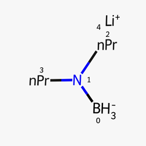 [BH3-]N(CCC)CCC.[Li+]